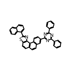 c1ccc(-c2nc(-c3ccccc3)nc(-c3ccc4c(ccc5ccc6sc(-c7cccc8ccccc78)nc6c54)c3)n2)cc1